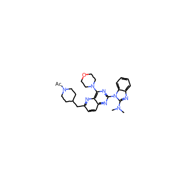 CC(=O)N1CCC(Cc2ccc3nc(-n4c(N(C)C)nc5ccccc54)nc(N4CCOCC4)c3n2)CC1